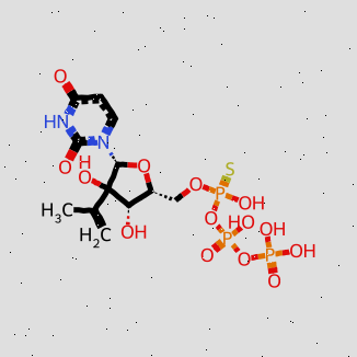 C=C(C)C1(O)[C@@H](O)[C@@H](COP(O)(=S)OP(=O)(O)OP(=O)(O)O)O[C@H]1n1ccc(=O)[nH]c1=O